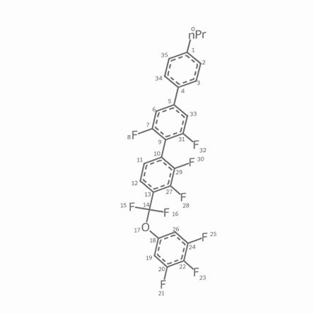 CCCc1ccc(-c2cc(F)c(-c3ccc(C(F)(F)Oc4cc(F)c(F)c(F)c4)c(F)c3F)c(F)c2)cc1